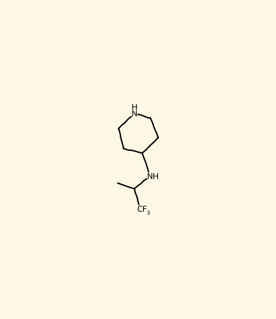 CC(NC1CCNCC1)C(F)(F)F